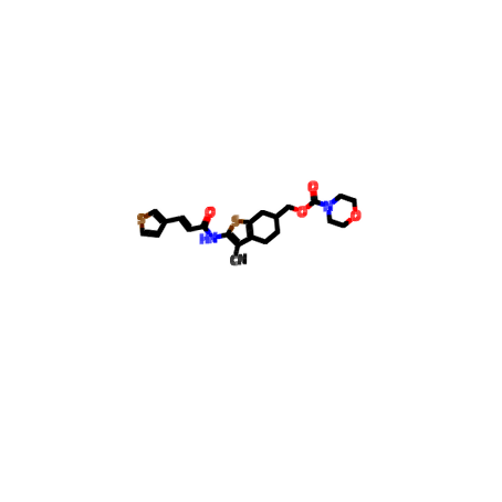 N#Cc1c(NC(=O)C=Cc2ccsc2)sc2c1CCC(COC(=O)N1CCOCC1)C2